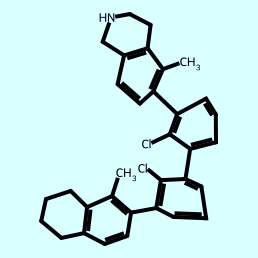 Cc1c(-c2cccc(-c3cccc(-c4ccc5c(c4C)CCNC5)c3Cl)c2Cl)ccc2c1CCCC2